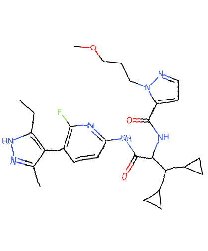 CCc1[nH]nc(C)c1-c1ccc(NC(=O)C(NC(=O)c2ccnn2CCCOC)C(C2CC2)C2CC2)nc1F